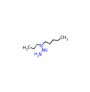 CCCCCN(CCC)NN